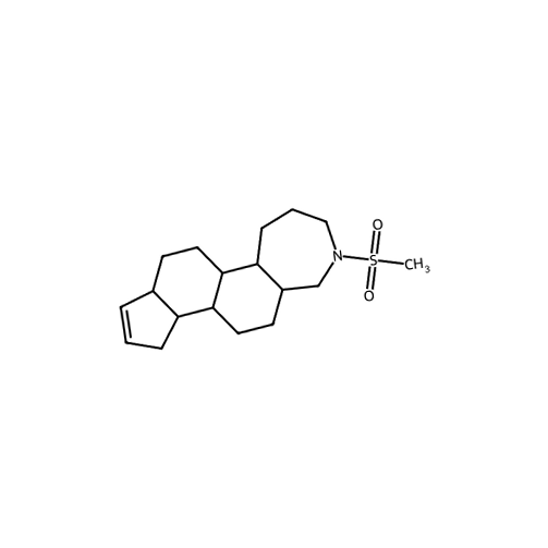 CS(=O)(=O)N1CCCC2C(CCC3C4CC=CC4CCC23)C1